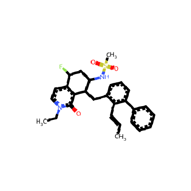 C/C=C/c1c(CC2c3c(ccn(CC)c3=O)C(F)CC2NS(C)(=O)=O)cccc1-c1ccccc1